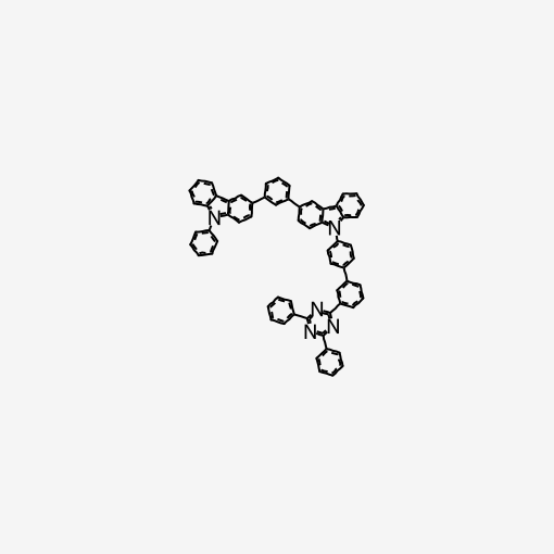 c1ccc(-c2nc(-c3ccccc3)nc(-c3cccc(-c4ccc(-n5c6ccccc6c6cc(-c7cccc(-c8ccc9c(c8)c8ccccc8n9-c8ccccc8)c7)ccc65)cc4)c3)n2)cc1